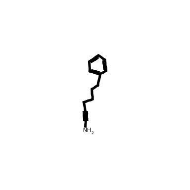 NC#CCCCCc1ccccc1